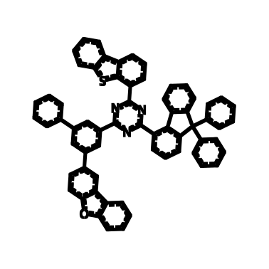 c1ccc(-c2cc(-c3ccc4oc5ccccc5c4c3)cc(-c3nc(-c4cccc5c4-c4ccccc4C5(c4ccccc4)c4ccccc4)nc(-c4cccc5c4sc4ccccc45)n3)c2)cc1